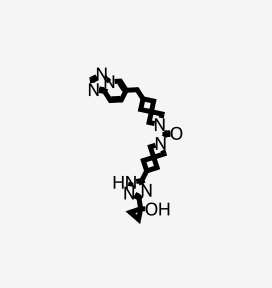 O=C(N1CC2(CC(Cc3ccc4ncnn4c3)C2)C1)N1CC2(CC(c3nc(C4(O)CC4)n[nH]3)C2)C1